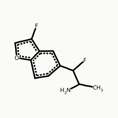 CC(N)C(F)c1ccc2occ(F)c2c1